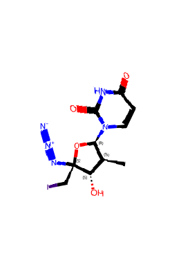 C[C@@H]1[C@H](n2ccc(=O)[nH]c2=O)O[C@@](CI)(N=[N+]=[N-])[C@H]1O